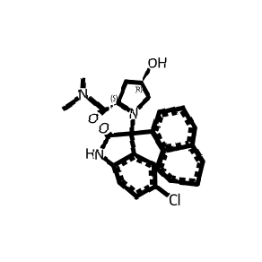 CN(C)C(=O)[C@@H]1C[C@@H](O)CN1C1(c2cccc3ccccc23)C(=O)Nc2ccc(Cl)cc21